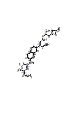 COC(CN/C=C(\C=N)c1cnc2ccc(N/C(N)=C/C(=C\N)C(C)C)nc2c1)CN1CC(F)C1